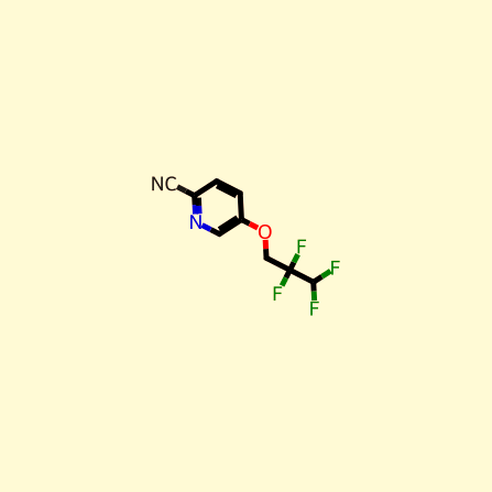 N#Cc1ccc(OCC(F)(F)C(F)F)cn1